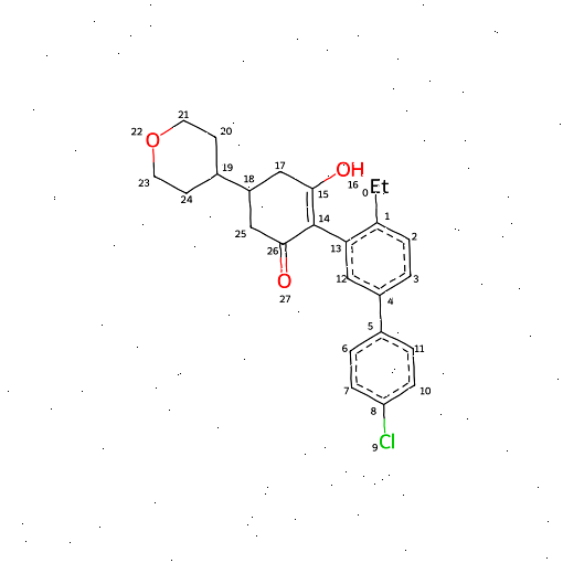 CCc1ccc(-c2ccc(Cl)cc2)cc1C1=C(O)CC(C2CCOCC2)CC1=O